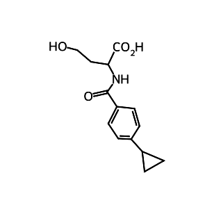 O=C(NC(CCO)C(=O)O)c1ccc(C2CC2)cc1